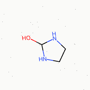 O[C]1NCCN1